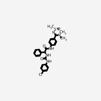 CN(C)C(=N[S+](C)[O-])c1ccc(NC(=O)C(NC(=O)Nc2ccc(Cl)cc2)c2ccccc2)cc1